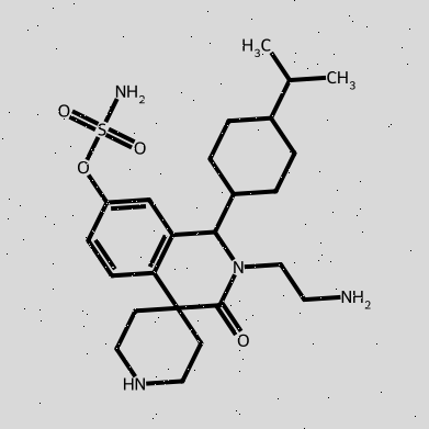 CC(C)C1CCC(C2c3cc(OS(N)(=O)=O)ccc3C3(CCNCC3)C(=O)N2CCN)CC1